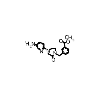 COC(=O)c1cccc(CN2CCN(c3ccc(N)cn3)CC2=O)c1